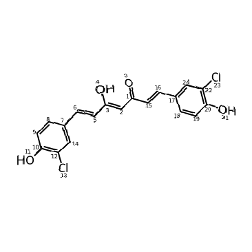 O=C(/C=C(O)/C=C/c1ccc(O)c(Cl)c1)/C=C/c1ccc(O)c(Cl)c1